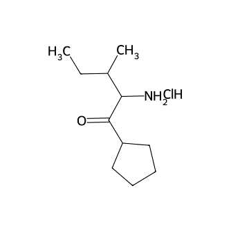 CCC(C)C(N)C(=O)C1CCCC1.Cl